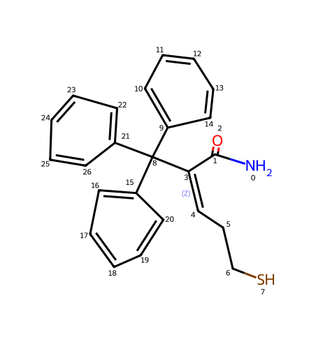 NC(=O)/C(=C\CCS)C(c1ccccc1)(c1ccccc1)c1ccccc1